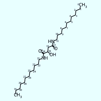 CCCCCCCCCCCCNC(=O)CC(O)C(=O)NCCCCCCCCCCCC